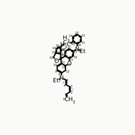 C=C/C=C\C=C\N(CC)C1=CC=C2C(C1)Oc1cc(N(CC)c3ccccc3C)ccc1C21OCc2ccc(C)cc21